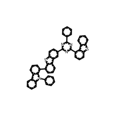 c1ccc(-c2nc(-c3ccc4sc5c(-c6cccc7c8ccccc8n(-c8ccccc8)c67)cccc5c4c3)nc(-c3cccc4sc5ccccc5c34)n2)cc1